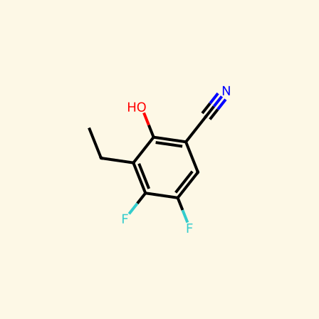 CCc1c(O)c(C#N)cc(F)c1F